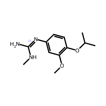 CN/C(N)=N\c1ccc(OC(C)C)c(OC)c1